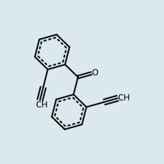 C#Cc1ccccc1C(=O)c1ccccc1C#C